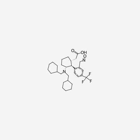 O=NCc1cc(C(F)(F)F)ccc1[C@@H]1[C@@H](CC(=O)O)CCC[C@H]1N(CC1CCCCC1)CC1CCCCC1